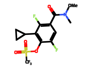 CON(C)C(=O)c1cc(F)c(OS(=O)(=O)C(F)(F)F)c(C2CC2)c1F